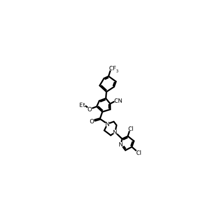 CCOc1cc(-c2ccc(C(F)(F)F)cc2)c(C#N)cc1C(=O)N1CCN(c2ncc(Cl)cc2Cl)CC1